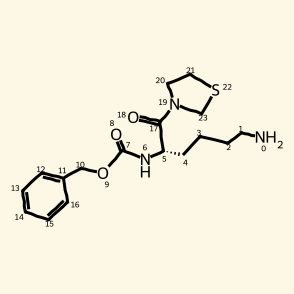 NCCCC[C@H](NC(=O)OCc1ccccc1)C(=O)N1CCSC1